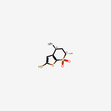 CCC[C@H]1C[C@H](C)S(=O)(=O)c2sc(S)cc21